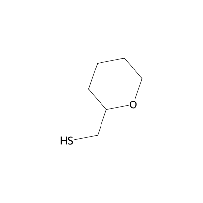 SCC1CCCCO1